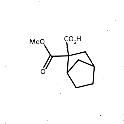 COC(=O)C1(C(=O)O)CC2CCC1C2